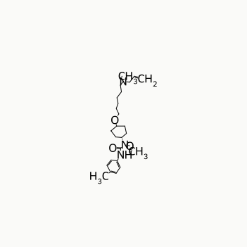 C=CCN(C)CCCCCCO[C@H]1CC[C@H](N(OC)C(=O)Nc2ccc(C)cc2)CC1